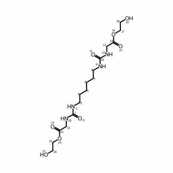 O=C(NCCCCCCNC(=O)NCC(=O)OCCO)NCC(=O)OCCO